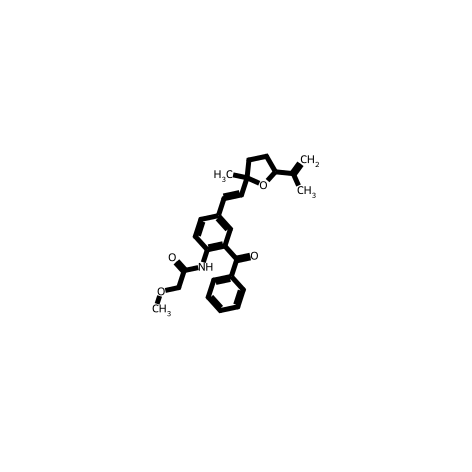 C=C(C)C1CCC(C)(C=Cc2ccc(NC(=O)COC)c(C(=O)c3ccccc3)c2)O1